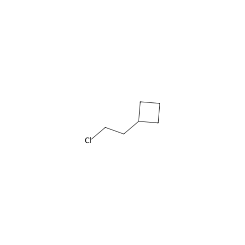 ClCCC1CCC1